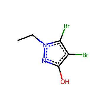 CCn1nc(O)c(Br)c1Br